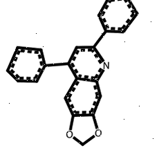 c1ccc(-c2cc(-c3ccccc3)c3cc4c(cc3n2)OCO4)cc1